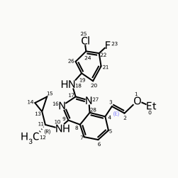 CCO/C=C/c1cccc2c(N[C@H](C)C3CC3)nc(Nc3ccc(F)c(Cl)c3)nc12